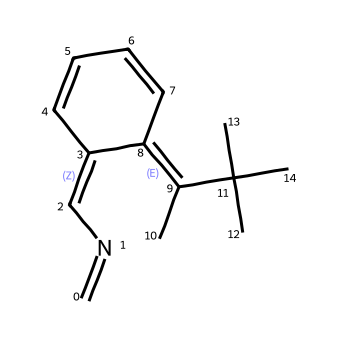 C=N/C=c1/cccc/c1=C(/C)C(C)(C)C